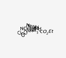 CCOC(=O)CCCNC(=O)Nc1cn2ncc(C#N)c(Nc3ccc(Oc4ccccc4)cc3)c2c1C